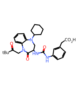 CC(C)(C)C(=O)CN1C(=O)C(NC(=O)Nc2cccc(CC(=O)O)c2)CN(C2CCCCC2)c2ccccc21